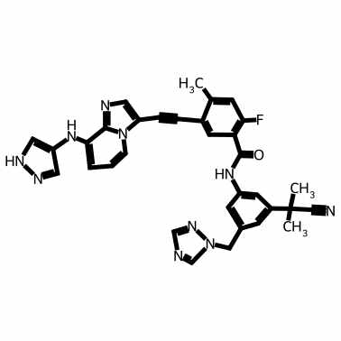 Cc1cc(F)c(C(=O)Nc2cc(Cn3cncn3)cc(C(C)(C)C#N)c2)cc1C#Cc1cnc2c(Nc3cn[nH]c3)cccn12